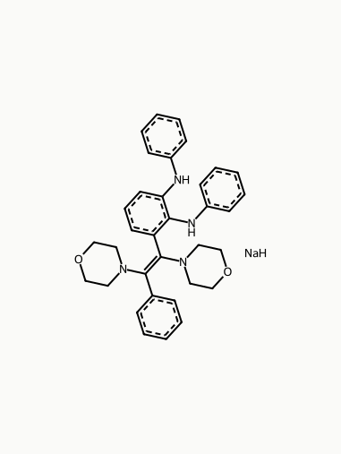 [NaH].c1ccc(Nc2cccc(C(=C(c3ccccc3)N3CCOCC3)N3CCOCC3)c2Nc2ccccc2)cc1